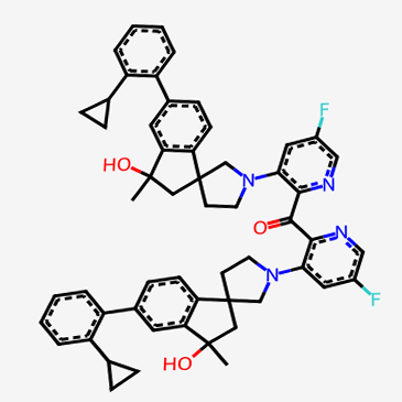 CC1(O)CC2(CCN(c3cc(F)cnc3C(=O)c3ncc(F)cc3N3CCC4(C3)CC(C)(O)c3cc(-c5ccccc5C5CC5)ccc34)C2)c2ccc(-c3ccccc3C3CC3)cc21